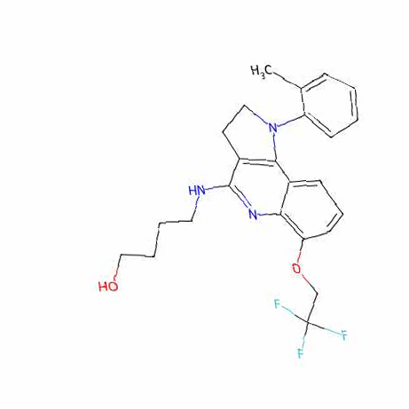 Cc1ccccc1N1CCc2c(NCCCCO)nc3c(OCC(F)(F)F)cccc3c21